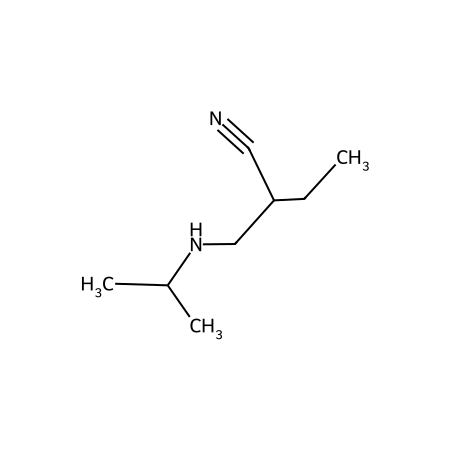 CCC(C#N)CNC(C)C